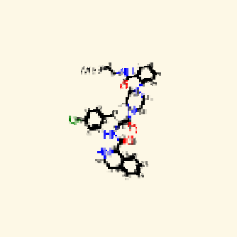 CSCCNC(=O)c1ccccc1N1CCN(C(=O)[C@@H](Cc2ccc(Cl)cc2)NC(=O)C2N[CH]Cc3ccccc32)CC1